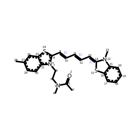 CC(=O)N(C)CC[n+]1c(/C=C/C=C/C=C2\Sc3ccccc3N2C)sc2cc(C)ccc21